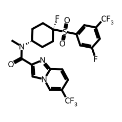 CN(C(=O)c1cn2cc(C(F)(F)F)ccc2n1)[C@H]1CC[C@](F)(S(=O)(=O)c2cc(F)cc(C(F)(F)F)c2)CC1